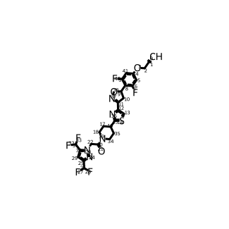 C#CCOc1cc(F)c(C2CC(c3csc(C4CCN(C(=O)Cn5nc(C(F)F)cc5C(F)F)CC4)n3)=NO2)c(F)c1